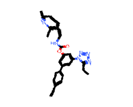 CCc1nnnn1-c1cc(OC(=O)NCc2ccc(C)nc2C)cc(-c2ccc(C)cc2)c1